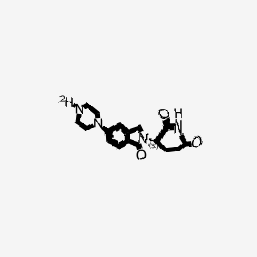 [2H]N1CCN(c2ccc3c(c2)CN([C@H]2CCC(=O)NC2=O)C3=O)CC1